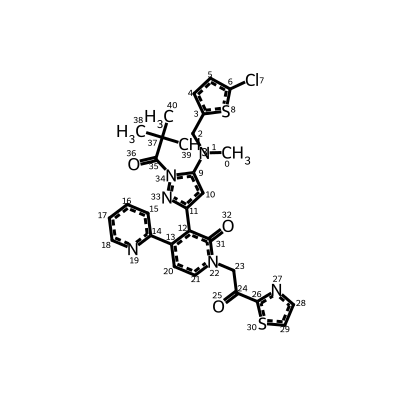 CN(Cc1ccc(Cl)s1)c1cc(-c2c(-c3ccccn3)ccn(CC(=O)c3nccs3)c2=O)nn1C(=O)C(C)(C)C